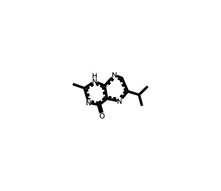 Cc1nc(=O)c2nc(C(C)C)cnc2[nH]1